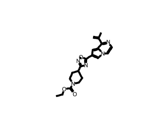 C=C(C)c1nccn2cc(-c3nc(C4CCN(C(=O)OCC)CC4)no3)cc12